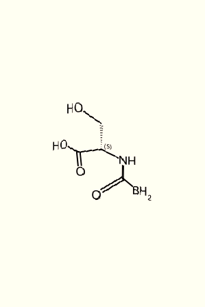 BC(=O)N[C@@H](CO)C(=O)O